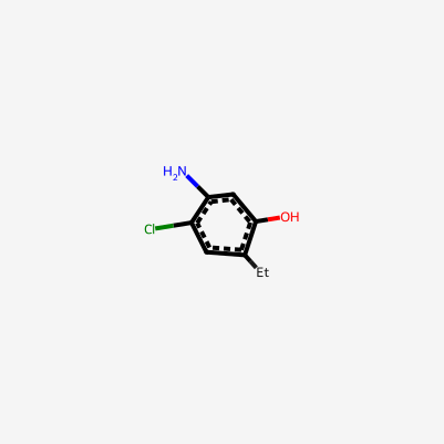 CCc1cc(Cl)c(N)cc1O